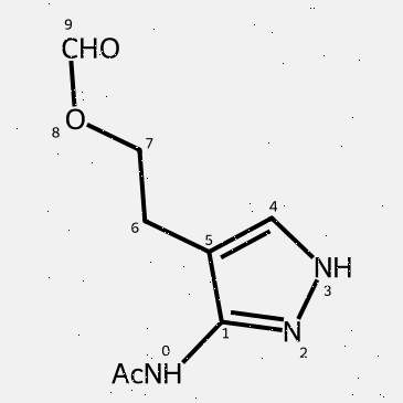 CC(=O)Nc1n[nH]cc1CCOC=O